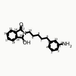 Nc1cccc(CCCCCN2C(=O)c3ccccc3C2O)c1